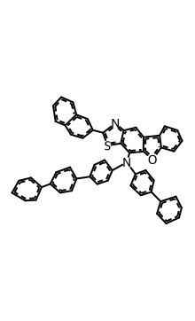 c1ccc(-c2ccc(-c3ccc(N(c4ccc(-c5ccccc5)cc4)c4c5oc6ccccc6c5cc5nc(-c6ccc7ccccc7c6)sc45)cc3)cc2)cc1